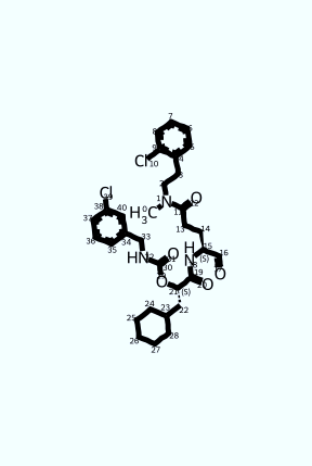 CN(CCc1ccccc1Cl)C(=O)CC[C@@H](C=O)NC(=O)[C@H](CC1CCCCC1)OC(=O)NCc1cccc(Cl)c1